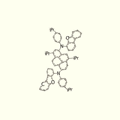 CC(C)c1ccc(N(c2ccc3c(C(C)C)cc4c(N(c5ccc(C(C)C)cc5)c5cccc6c5oc5ccccc56)cc(C(C)C)c5ccc2c3c54)c2cccc3c2oc2ccccc23)cc1